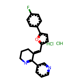 Cl.Cl.Fc1ccc(-c2ccc(C=C3CCCN=C3c3cccnc3)o2)cc1